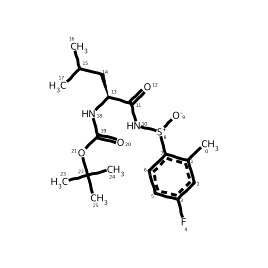 Cc1cc(F)ccc1[S+]([O-])NC(=O)[C@H](CC(C)C)NC(=O)OC(C)(C)C